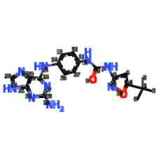 CC(C)(C)c1cc(NC(=O)Nc2ccc(Nc3nc(N)nc4[nH]cnc34)cc2)no1